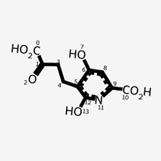 O=C(O)C(=O)CCc1c(O)cc(C(=O)O)nc1O